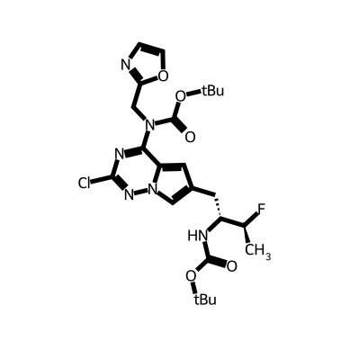 C[C@H](F)[C@@H](Cc1cc2c(N(Cc3ncco3)C(=O)OC(C)(C)C)nc(Cl)nn2c1)NC(=O)OC(C)(C)C